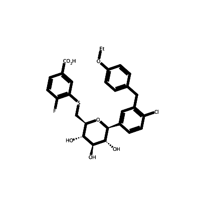 CCOc1ccc(Cc2cc([C@@H]3O[C@H](CSc4cc(C(=O)O)ccc4F)[C@@H](O)[C@H](O)[C@H]3O)ccc2Cl)cc1